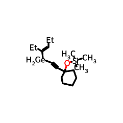 CCC=[C](CC)[GeH2][C]#CC1(O[Si](C)(C)C)CCCCC1